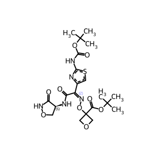 CC(C)(C)OC(=O)Nc1nc(/C(=N/OC2(C(=O)OC(C)(C)C)COC2)C(=O)N[C@H]2CONC2=O)cs1